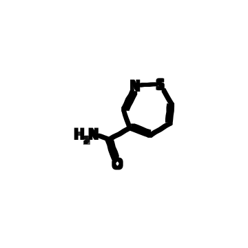 NC(=O)C1=CC=CSN=C1